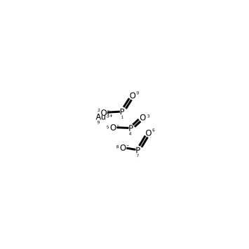 O=P[O-].O=P[O-].O=P[O-].[Au+3]